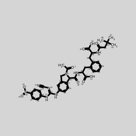 CC(=O)N1Cc2cc(NC(=NC#N)Nc3ccc([N+](=O)[O-])cc3)ccc2C1C(=O)NC(Cc1ccccc1CC(NC(=O)CC(C)(C)C)C(=O)O)C(=O)O